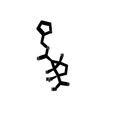 N[C@@]1(C(=O)O)CC[C@H]2[C@H](C(=O)OCc3cccs3)[C@H]21